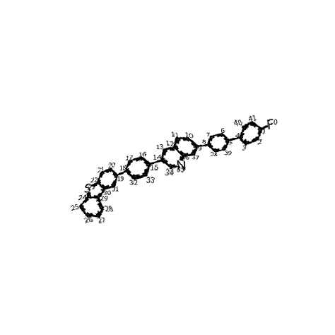 Fc1ccc(-c2ccc(-c3ccc4cc(-c5ccc(-c6ccc7sc8ccccc8c7c6)cc5)cnc4c3)cc2)cc1